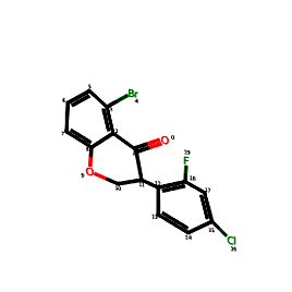 O=C1c2c(Br)cccc2OCC1c1ccc(Cl)cc1F